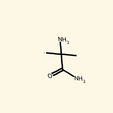 [CH2]C(C)(N)C(N)=O